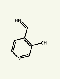 Cc1cnccc1C=N